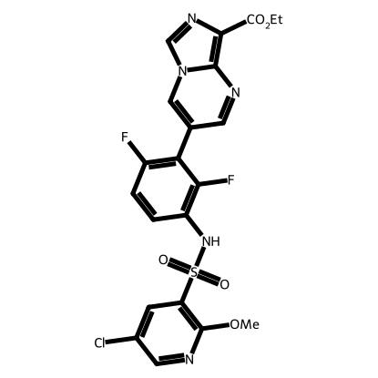 CCOC(=O)c1ncn2cc(-c3c(F)ccc(NS(=O)(=O)c4cc(Cl)cnc4OC)c3F)cnc12